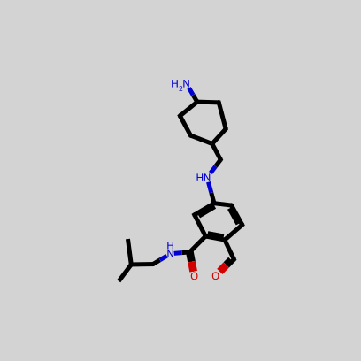 CC(C)CNC(=O)c1cc(NCC2CCC(N)CC2)ccc1C=O